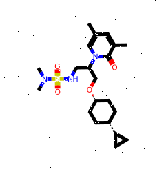 Cc1cc(C)c(=O)n(C(CNS(=O)(=O)N(C)C)CO[C@H]2CC[C@@H](C3CC3)CC2)c1